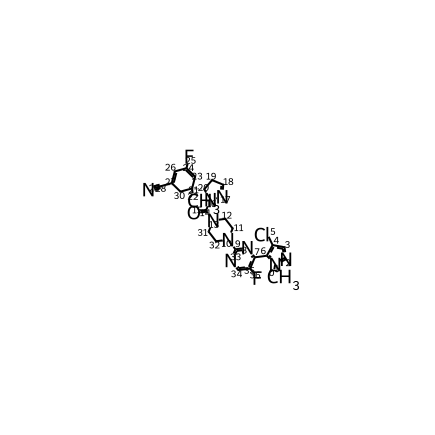 Cn1ncc(Cl)c1-c1nc(N2CCN(C(=O)N3N=CC[C@H]3C3(C)C=C(F)C=C(C#N)C3)CC2)ncc1F